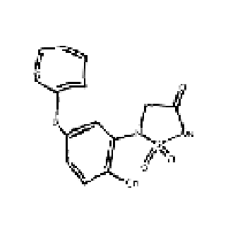 O=C1CN(c2cc(Oc3ccccc3)ccc2O)S(=O)(=O)N1